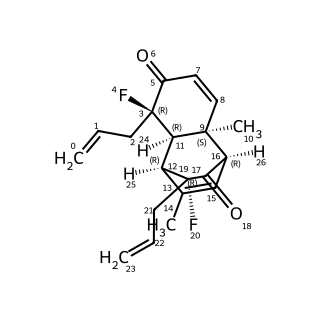 C=CC[C@]1(F)C(=O)C=C[C@]2(C)[C@H]1[C@@H]1C(C)=C[C@H]2C(=O)[C@@]1(F)CC=C